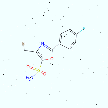 NS(=O)(=O)c1oc(-c2ccc(F)cc2)nc1CBr